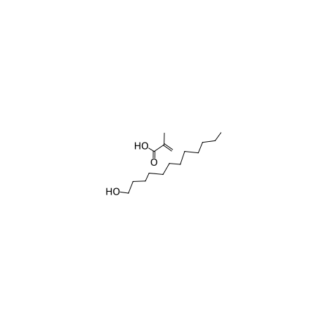 C=C(C)C(=O)O.CCCCCCCCCCCCO